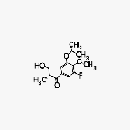 COc1c(F)cc(C(=O)[C@H](C)CO)cc1OC(C)C